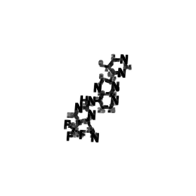 Cc1cncnc1-c1cnc2c(Nc3ncc(C(F)(F)F)c(C#N)n3)ccnc2n1